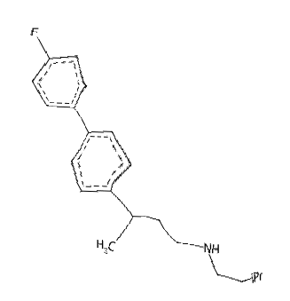 CC(C)CNCCC(C)c1ccc(-c2ccc(F)cc2)cc1